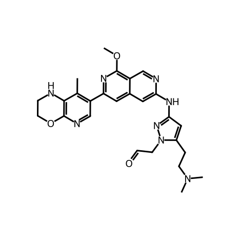 COc1nc(-c2cnc3c(c2C)NCCO3)cc2cc(Nc3cc(CCN(C)C)n(CC=O)n3)ncc12